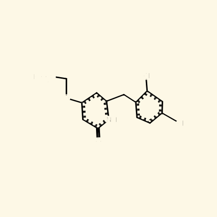 CCOC(=O)COc1cc(Cc2ccc(Cl)cc2Cl)[nH]c(=O)c1